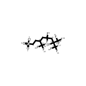 O=S(=O)(Cl)CCC(CC(F)(F)CC(F)(C(F)(F)F)C(F)(F)F)C(F)(F)F